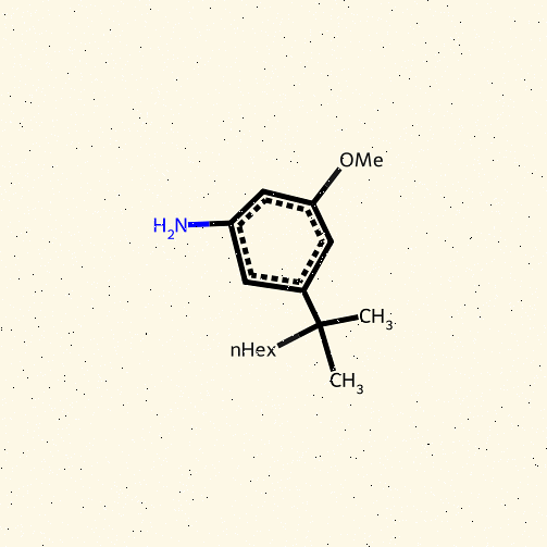 CCCCCCC(C)(C)c1cc(N)cc(OC)c1